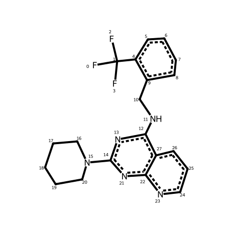 FC(F)(F)c1ccccc1CNc1nc(N2CCCCC2)nc2ncccc12